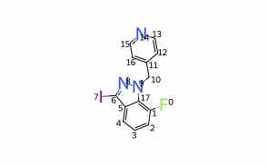 Fc1cccc2c(I)nn(Cc3ccncc3)c12